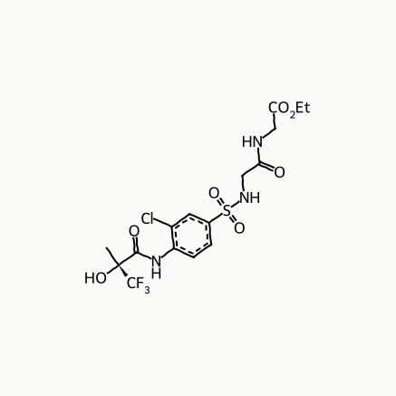 CCOC(=O)CNC(=O)CNS(=O)(=O)c1ccc(NC(=O)[C@@](C)(O)C(F)(F)F)c(Cl)c1